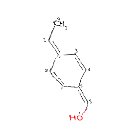 CC=c1ccc(=CO)cc1